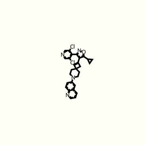 Clc1cncc(Cl)c1-c1noc(C2CC2)c1C1=CC2(CCN(c3ccc4ncccc4c3)CC2)C1